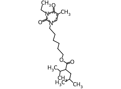 CCn1c(=O)c(C)cn(CCCCCCOC(=O)C(CC(C)C)C(C)C)c1=O